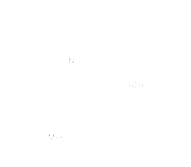 CCCCc1ccc(OC)cc1-c1ccccn1